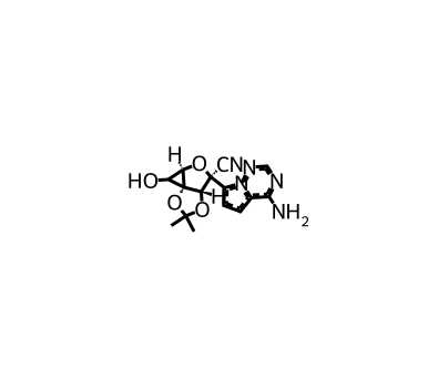 CC1(C)O[C@@H]2[C@@]3(O1)C(O)[C@H]3O[C@@]2(C#N)c1ccc2c(N)ncnn12